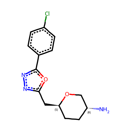 N[C@@H]1CC[C@@H](Cc2nnc(-c3ccc(Cl)cc3)o2)OC1